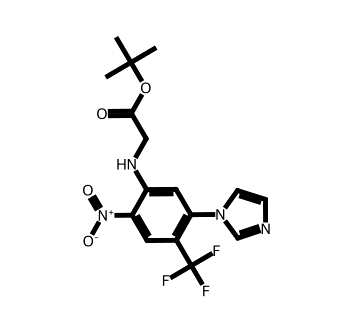 CC(C)(C)OC(=O)CNc1cc(-n2ccnc2)c(C(F)(F)F)cc1[N+](=O)[O-]